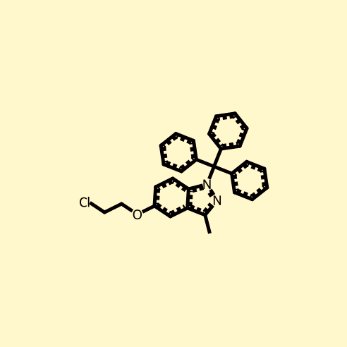 Cc1nn(C(c2ccccc2)(c2ccccc2)c2ccccc2)c2ccc(OCCCl)cc12